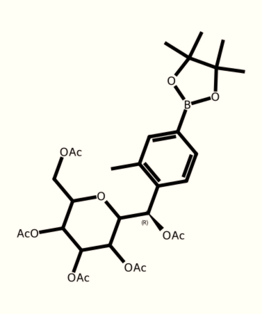 CC(=O)OCC1OC([C@H](OC(C)=O)c2ccc(B3OC(C)(C)C(C)(C)O3)cc2C)C(OC(C)=O)C(OC(C)=O)C1OC(C)=O